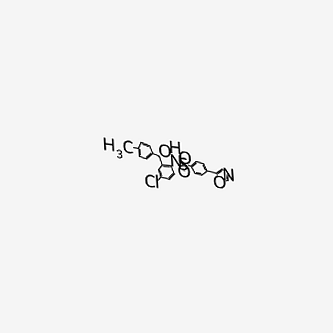 Cc1ccc(C(=O)c2cc(Cl)ccc2NS(=O)(=O)c2ccc(-c3cnco3)cc2)cc1